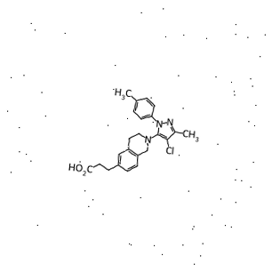 Cc1ccc(-n2nc(C)c(Cl)c2N2CCc3cc(CCC(=O)O)ccc3C2)cc1